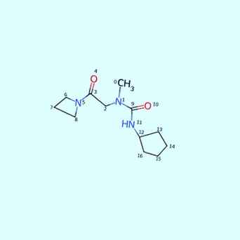 CN(CC(=O)N1CCC1)C(=O)NC1CCCC1